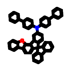 c1ccc(-c2ccc(N(c3ccc(-c4ccccc4)cc3)c3ccc4c(c3)-c3c(ccc5c3oc3ccccc35)C43c4ccccc4-c4ccccc43)cc2)cc1